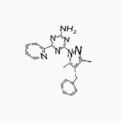 Cc1nn(-c2nc(N)nc(-c3ccccn3)n2)c(C)c1Cc1ccccc1